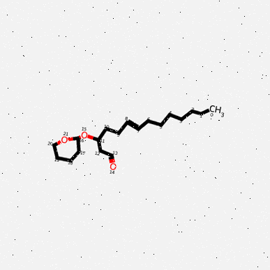 CCCCCCCC=CCCC(CC=O)OC1CCCCO1